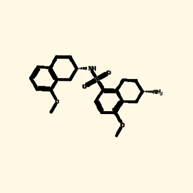 COc1cccc2c1C[C@@H](NS(=O)(=O)c1ccc(OC)c3c1CC[C@H](N)C3)CC2